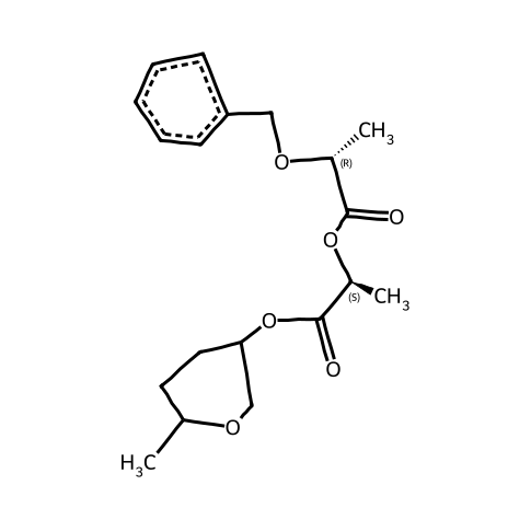 CC1CCC(OC(=O)[C@H](C)OC(=O)[C@@H](C)OCc2ccccc2)CO1